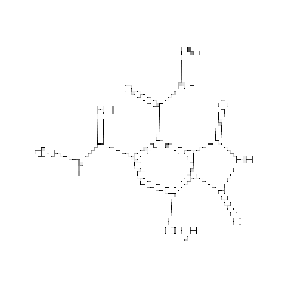 CC(C)(C)NC(=N)c1cc(C(=O)O)c2c(c1C(=O)NC(C)(C)C)C(=O)NC2=O